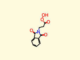 O=C(CCN1C(=O)c2ccccc2C1=O)OO